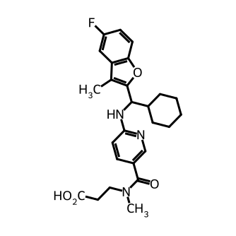 Cc1c(C(Nc2ccc(C(=O)N(C)CCC(=O)O)cn2)C2CCCCC2)oc2ccc(F)cc12